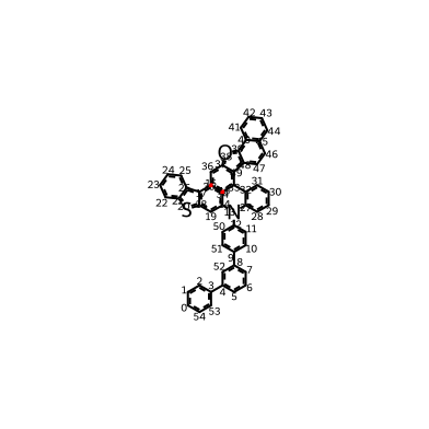 c1ccc(-c2cccc(-c3ccc(N(c4ccc5c(c4)sc4ccccc45)c4ccccc4-c4cccc5oc6c7ccccc7ccc6c45)cc3)c2)cc1